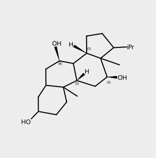 CC(C)C1CC[C@H]2C3[C@H](O)CC4CC(O)CCC4(C)[C@H]3C[C@H](O)C12C